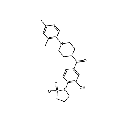 Cc1ccc(N2CCN(C(=O)c3ccc(N4CCCS4(=O)=O)c(O)c3)CC2)c(C)c1